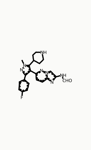 Cn1nc(-c2ccc(F)cc2)c(-c2ccc3nc(NC=O)cn3n2)c1C1CCNCC1